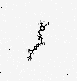 N#Cc1ccc(CC2CC3(C2)CN(C(=O)N2CC4(CC(c5nc(C6COC6)n[nH]5)C4)C2)C3)cc1C(F)(F)F